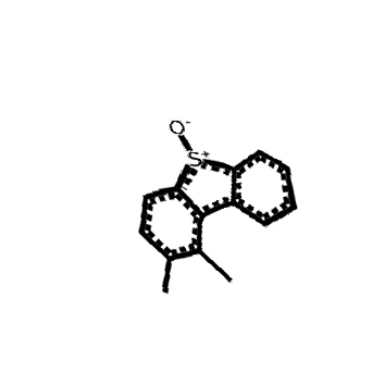 Cc1ccc2c(c1C)c1ccccc1[s+]2[O-]